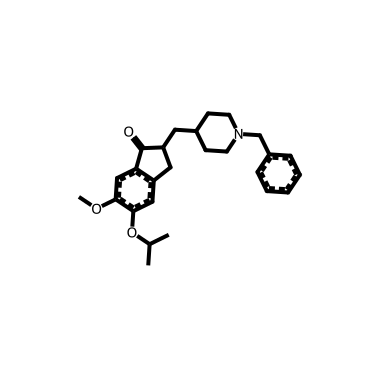 COc1cc2c(cc1OC(C)C)CC(CC1CCN(Cc3ccccc3)CC1)C2=O